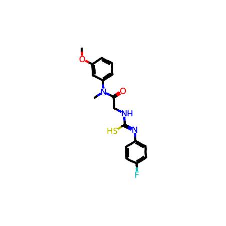 COc1cccc(N(C)C(=O)CNC(S)=Nc2ccc(F)cc2)c1